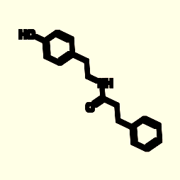 O=C(CCc1ccccc1)NCCc1ccc(O)cc1